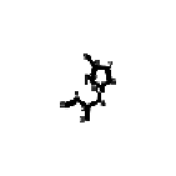 C=CC(=C)Cn1ccc(C)n1